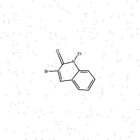 CCn1c(=O)c(Br)cc2ccccc21